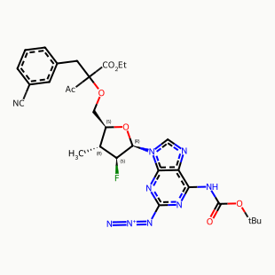 CCOC(=O)C(Cc1cccc(C#N)c1)(OC[C@H]1O[C@@H](n2cnc3c(NC(=O)OC(C)(C)C)nc(N=[N+]=[N-])nc32)[C@@H](F)[C@@H]1C)C(C)=O